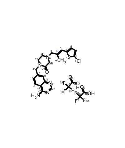 C/C(=C\c1ccc(Cl)s1)CN1CCN(Cc2ccc3c(N)ncnc3c2)C(=O)C1.O=C(O)C(F)(F)F.O=C(O)C(F)(F)F